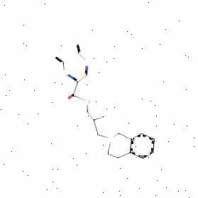 C=C/N=C\C(=N/C=C)C(=O)NCC(O)CN1CCc2ccccc2C1